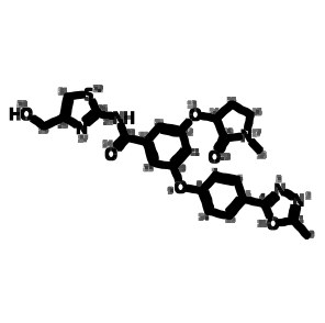 Cc1nnc(-c2ccc(Oc3cc(OC4CCN(C)C4=O)cc(C(=O)Nc4nc(CO)cs4)c3)cc2)o1